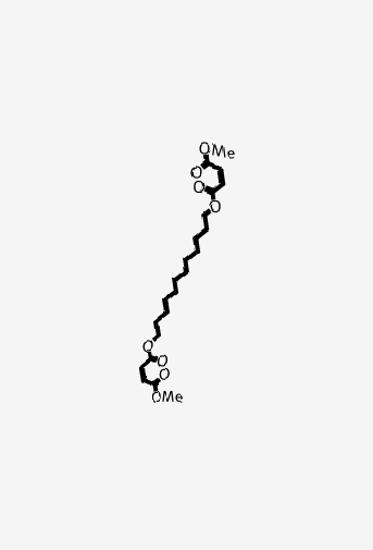 COC(=O)/C=C\C(=O)OCCCCCCCCCCCCOC(=O)/C=C\C(=O)OC